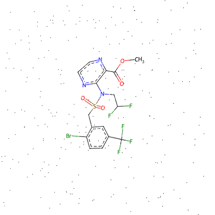 COC(=O)c1nccnc1N(CC(F)F)S(=O)(=O)Cc1cc(C(F)(F)F)ccc1Br